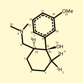 [2H]C1([2H])CCC[C@@]([2H])(CN(C)C)[C@]1(O)c1cccc(OC)c1